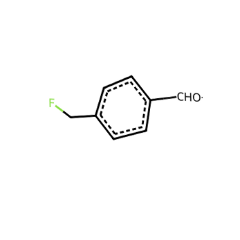 O=[C]c1ccc(CF)cc1